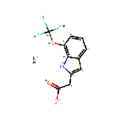 O=C([O-])Cc1cc2cccc(OC(F)(F)F)c2[nH]1.[Li+]